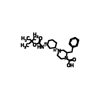 CC(C)(C)OC(=O)N[C@@H]1CCC[C@H](N2CCN(C(=O)O)C(Cc3ccccc3)C2)C1